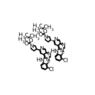 CC(C)(C)OC(=O)N1CCC(c2cc3c(Nc4cccc(Cl)c4F)ncnc3cn2)C1.CC(C)(C)OC(=O)N1CC[C@H](c2cc3c(Nc4cccc(Cl)c4F)ncnc3cn2)C1